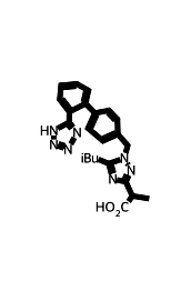 CCC(C)c1nc(C(C)C(=O)O)nn1Cc1ccc(-c2ccccc2-c2nnn[nH]2)cc1